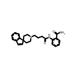 NC(=O)c1ccccc1NC(=O)CCCN1CCC2(C=Cc3ccccc32)CC1